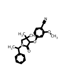 COc1cc(OC2C(=O)N(C(C)c3ccccc3)CC2(C)C)ccc1C#N